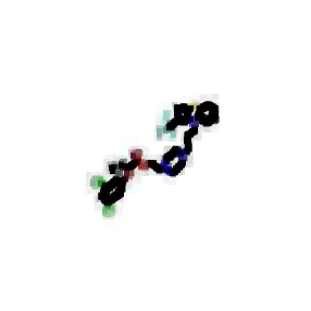 CC(Oc1cc(Cl)cc(Cl)c1)C(=O)OCCN1CCN(CCCN2c3ccccc3Sc3ccc(C(F)(F)F)cc32)CC1